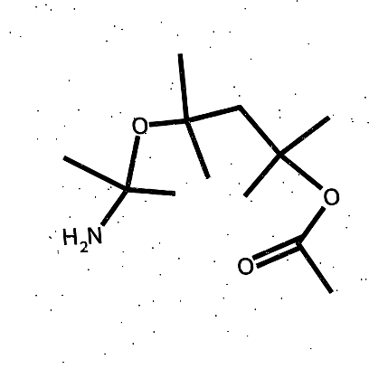 CC(=O)OC(C)(C)CC(C)(C)OC(C)(C)N